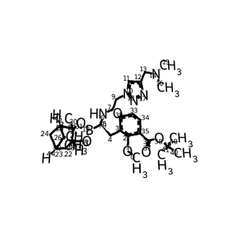 COc1c(C[C@H](NC(=O)Cn2cc(CN(C)C)nn2)B2O[C@@H]3C[C@@H]4C[C@@H](C4(C)C)[C@]3(C)O2)cccc1C(=O)OC(C)(C)C